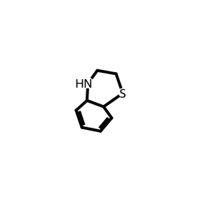 C1=CC2NCCSC2C=C1